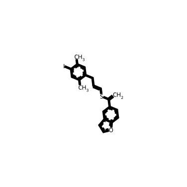 C=C(S/C=C/Cc1cc(C)c(I)cc1C)c1ccc2occc2c1